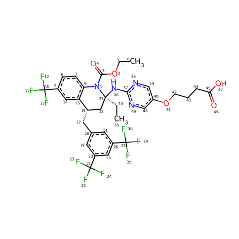 CCOC(=O)N1c2ccc(C(F)(F)F)cc2[C@@H](Cc2cc(C(F)(F)F)cc(C(F)(F)F)c2)C[C@]1(CC)Nc1ncc(OCCCC(=O)O)cn1